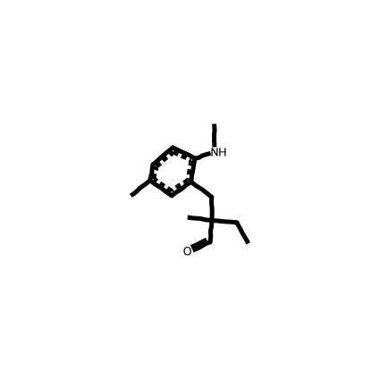 CCC(C)(C=O)Cc1cc(C)ccc1NC